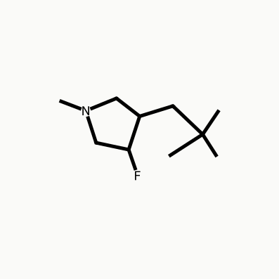 CN1CC(F)C(CC(C)(C)C)C1